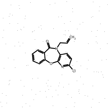 C=CCN1C(=O)c2ccccc2Oc2nc(Cl)ccc21